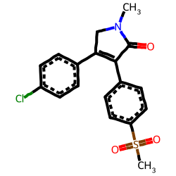 CN1CC(c2ccc(Cl)cc2)=C(c2ccc(S(C)(=O)=O)cc2)C1=O